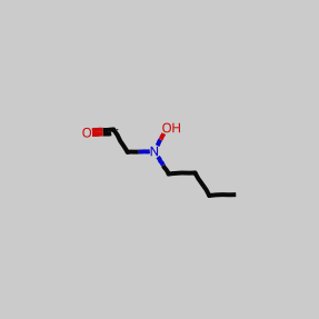 CCCCN(O)C[C]=O